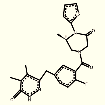 Cc1c(Cc2ccc(F)c(C(=O)N3CC(=O)N(c4cccs4)[C@H](C)C3)c2)n[nH]c(=O)c1C